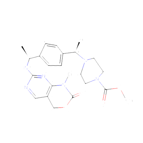 CC[C@H](c1ccc([C@H](C)Nc2ncc3c(n2)N(CC)C(=O)OC3)cc1)N1CCN(C(=O)OC(C)(C)C)CC1